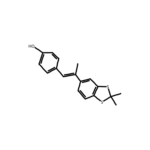 CC(=Cc1ccc(O)cc1)c1ccc2c(c1)SC(C)(C)S2